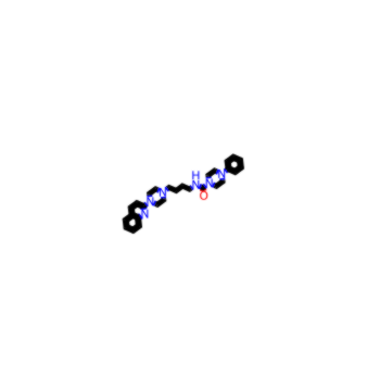 O=C(NCCCCN1CCN(c2ccc3ccccc3n2)CC1)N1CCN(c2ccccc2)CC1